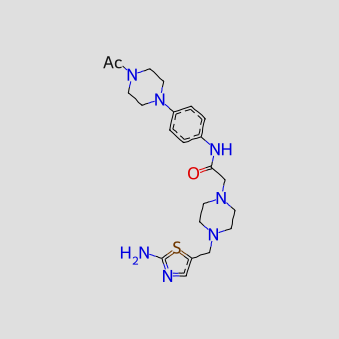 CC(=O)N1CCN(c2ccc(NC(=O)CN3CCN(Cc4cnc(N)s4)CC3)cc2)CC1